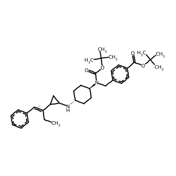 CC/C(=C\c1ccccc1)C1CC1N[C@H]1CC[C@H](N(Cc2ccc(C(=O)OC(C)(C)C)cc2)C(=O)OC(C)(C)C)CC1